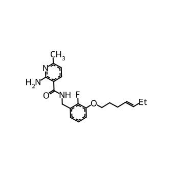 CCC=CCCCOc1cccc(CNC(=O)c2ccc(C)nc2N)c1F